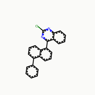 Clc1nc(-c2cccc3c(-c4ccccc4)cccc23)c2ccccc2n1